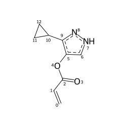 C=CC(=O)Oc1c[nH]nc1C1CC1